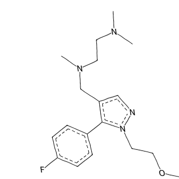 COCCn1ncc(CN(C)CCN(C)C)c1-c1ccc(F)cc1